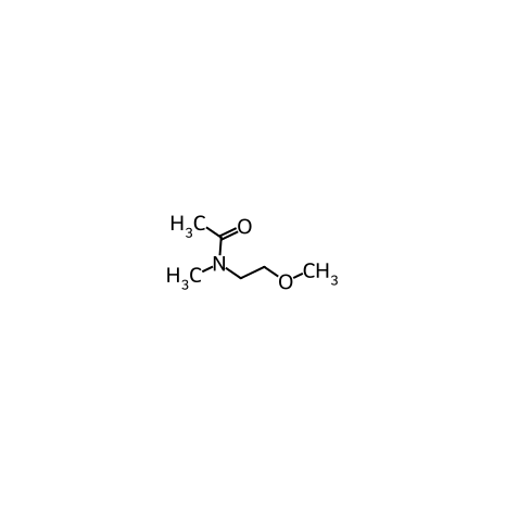 COCCN(C)C(C)=O